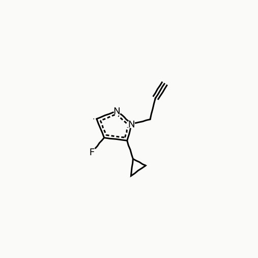 C#CCn1n[c]c(F)c1C1CC1